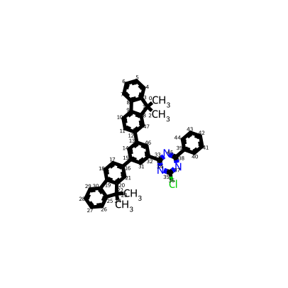 CC1(C)c2ccccc2-c2ccc(-c3cc(-c4ccc5c(c4)C(C)(C)c4ccccc4-5)cc(-c4nc(Cl)nc(-c5ccccc5)n4)c3)cc21